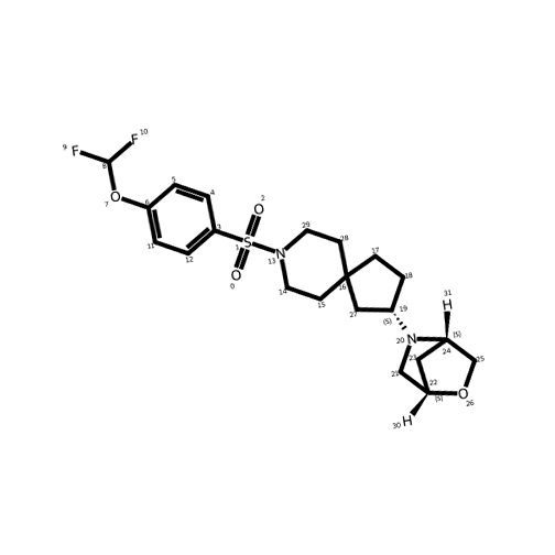 O=S(=O)(c1ccc(OC(F)F)cc1)N1CCC2(CC[C@H](N3C[C@@H]4C[C@H]3CO4)C2)CC1